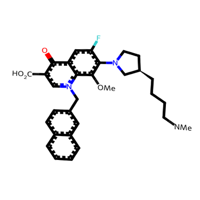 CNCCCC[C@@H]1CCN(c2c(F)cc3c(=O)c(C(=O)O)cn(Cc4ccc5ccccc5c4)c3c2OC)C1